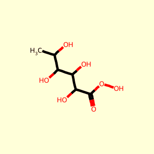 CC(O)C(O)C(O)C(O)C(=O)OO